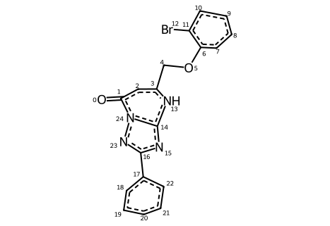 O=c1cc(COc2ccccc2Br)[nH]c2nc(-c3ccccc3)nn12